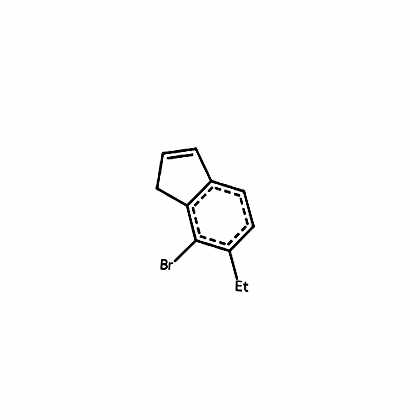 CCc1ccc2c(c1Br)CC=C2